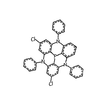 Clc1cc2c3c(c1)N(c1ccccc1)c1cc(Cl)cc4c1P3c1c(cccc1N4c1ccccc1)N2c1ccccc1